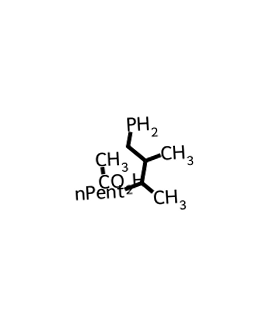 CC(=O)O.CCCCCC(C)C(C)CP